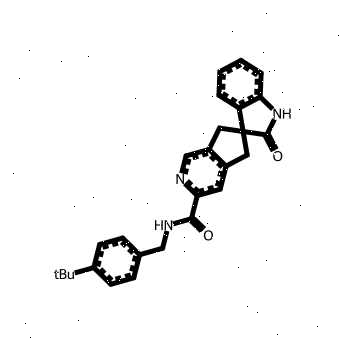 CC(C)(C)c1ccc(CNC(=O)c2cc3c(cn2)CC2(C3)C(=O)Nc3ccccc32)cc1